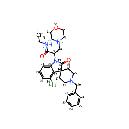 O=C(NCC(F)(F)F)C(CN1CCOCC1)N1C(=O)C2(CCN(Cc3ccccc3)CC2)c2c(Cl)cccc21